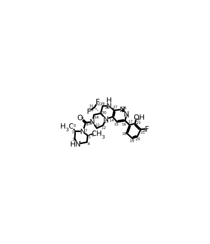 C[C@@H]1CNC[C@H](C)N1C(=O)N1CCN2c3cc(-c4cccc(F)c4O)nnc3NC[C@]2(C(F)F)C1